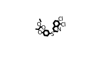 CCOC(=O)C(C)Oc1ccc(Sc2cnc3c(Cl)c(Cl)ccc3c2)cc1